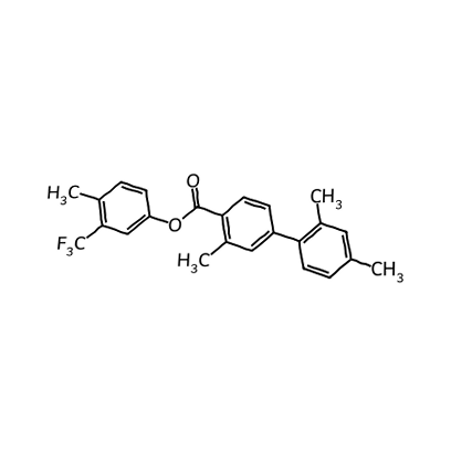 Cc1ccc(-c2ccc(C(=O)Oc3ccc(C)c(C(F)(F)F)c3)c(C)c2)c(C)c1